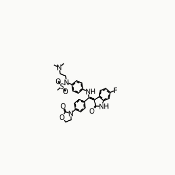 CN(C)CCN(c1ccc(NC(=C2C(=O)Nc3cc(F)ccc32)c2ccc(N3CCOC3=O)cc2)cc1)S(C)(=O)=O